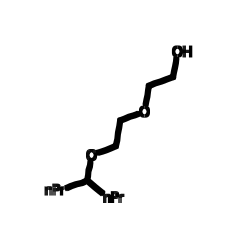 CCCC(CCC)OCCOCCO